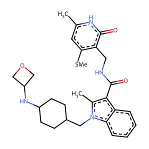 CSc1cc(C)[nH]c(=O)c1CNC(=O)c1c(C)n(CC2CCC(NC3COC3)CC2)c2ccccc12